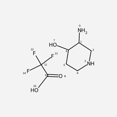 NC1CNCCC1O.O=C(O)C(F)(F)F